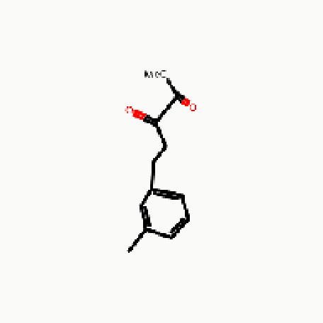 COC(=O)C(=O)CCc1cccc(C)c1